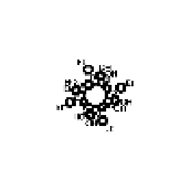 CCC1CCC(Oc2cc(O)c3cc2C(c2ccc(O)c(O)c2)c2cc(c(OC4CCC(CC)CC4)cc2O)C(c2ccc(O)c(O)c2)c2cc(c(OC4CCC(CC)CC4)cc2O)C(c2ccc(O)c(O)c2)c2cc(c(OC4CCC(CC)CC4)cc2O)C3c2ccc(O)c(O)c2)CC1